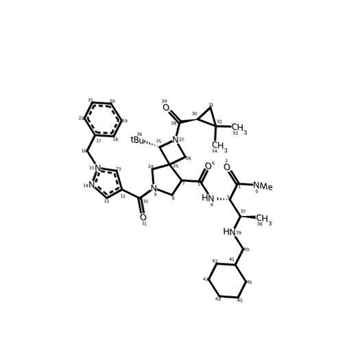 CNC(=O)[C@@H](NC(=O)C1CN(C(=O)c2cnn(Cc3ccccc3)c2)CC12CN(C(=O)[C@H]1CC1(C)C)[C@H]2C(C)(C)C)[C@@H](C)NCC1CCCCC1